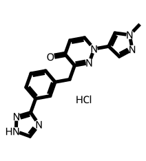 Cl.Cn1cc(-n2ccc(=O)c(Cc3cccc(-c4nc[nH]n4)c3)n2)cn1